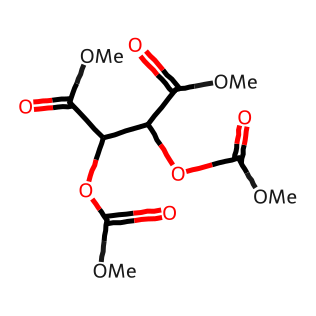 COC(=O)OC(C(=O)OC)C(OC(=O)OC)C(=O)OC